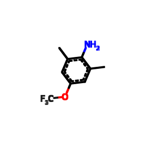 Cc1cc(OC(F)(F)F)cc(C)c1N